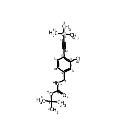 CC(C)(C)OC(=O)NCc1ccc(C#C[Si](C)(C)C)c(Cl)c1